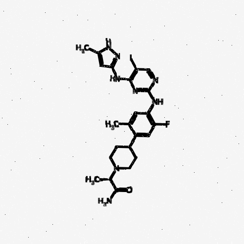 Cc1cc(Nc2nc(Nc3cc(C)c(C4CCN([C@H](C)C(N)=O)CC4)cc3F)ncc2I)n[nH]1